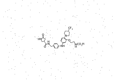 O=C(O)NCCOc1cc(Nc2ccc(CNC(=O)C3CNC(=O)C3)cc2)ccc1N1CCC(C(F)(F)F)CC1